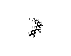 Cc1cc(N[C@@H](C(=O)O)c2ccc(C(F)(F)F)c(F)c2)n2nc(N)nc2n1